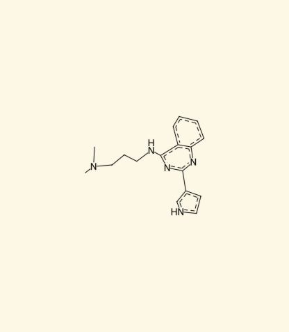 CN(C)CCCNc1nc(-c2cc[nH]c2)nc2ccccc12